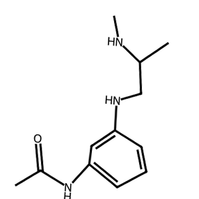 CNC(C)CNc1cccc(NC(C)=O)c1